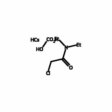 CCN(CC)C(=O)CCl.O=C(O)O.[CsH]